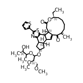 CC[C@H]1CCCC[C@@H](C)C(=O)C2=CC3[C@@H]4C[C@H](OC(OC(C)[C@@H](C)O)[C@H](COC)OC)CC4c4nc(-c5cccs5)sc4[C@H]3[C@@H]2CC(=O)O1